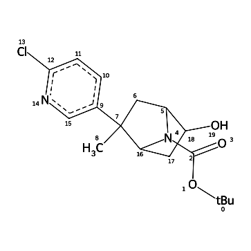 CC(C)(C)OC(=O)N1C2CC(C)(c3ccc(Cl)nc3)C1CC2O